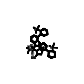 CCC(C)C1=Cc2c(-c3ccccc3[Si](C)(C)C)cccc2[CH]1[Zr]([Cl])([Cl])([CH]1C(C(C)CC)=Cc2c(-c3ccccc3[Si](C)(C)C)cccc21)[SiH](C)C